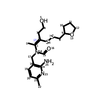 C/C(=C(\CCO)SSCC1CCCO1)N(C=O)Cc1ccc(C)nc1N